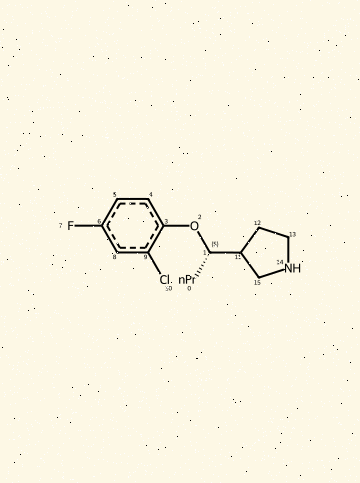 CCC[C@H](Oc1ccc(F)cc1Cl)C1CCNC1